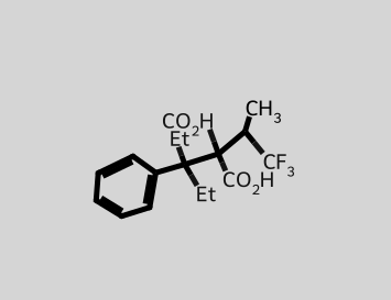 CCC(CC)(c1ccccc1)C(C(=O)O)(C(=O)O)C(C)C(F)(F)F